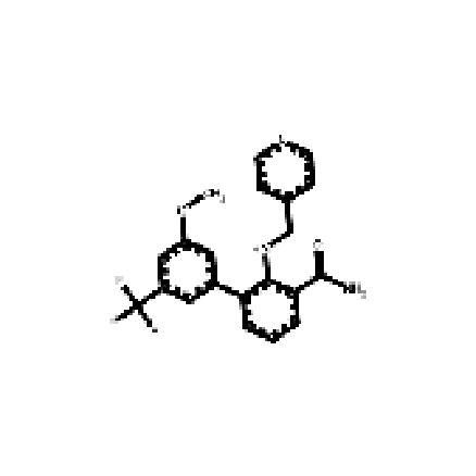 COc1cc(-c2cccc(C(N)=O)c2NCc2ccncc2)cc(C(F)(F)F)c1